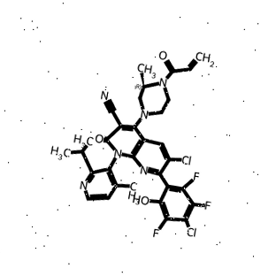 C=CC(=O)N1CCN(c2c(C#N)c(=O)n(-c3c(C)ccnc3C(C)C)c3nc(-c4c(O)c(F)c(Cl)c(F)c4F)c(Cl)cc23)C[C@H]1C